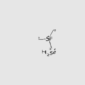 C[Si](C)C.[SeH2]